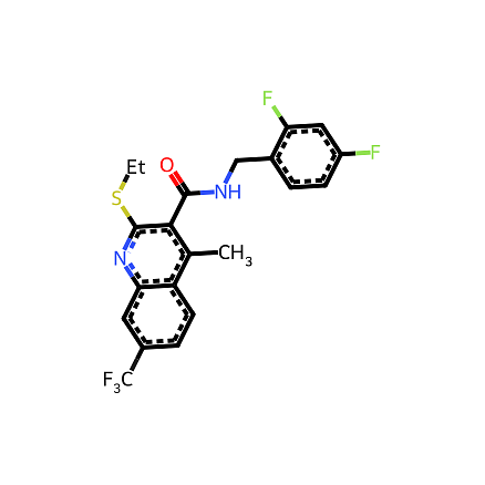 CCSc1nc2cc(C(F)(F)F)ccc2c(C)c1C(=O)NCc1ccc(F)cc1F